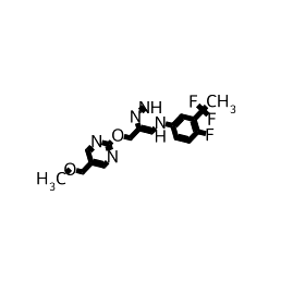 COCc1cnc(OC/C(=C/Nc2ccc(F)c(C(C)(F)F)c2)N=N)nc1